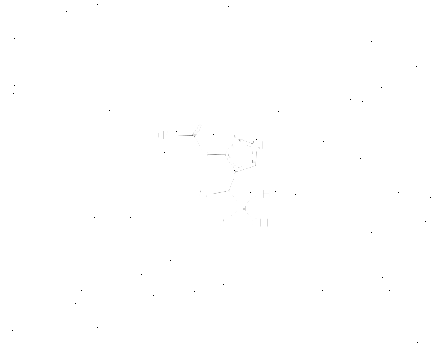 CC(=O)C(c1c[nH]nc1OC(=O)C(C)(C)C)[Si](C)(C)C